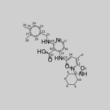 CC1=C2ONC3(CCCCC3)N2OC(Nc2ccnc(NCc3ccc(C)c(C)c3)c2C(=O)O)=C1